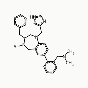 CC(=O)N1Cc2cc(-c3ccccc3CN(C)C)ccc2N(Cc2c[nH]cn2)CC1Cc1ccccc1